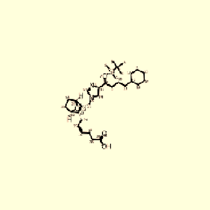 CC(C)(C)[Si](C)(C)OC(CCCC1CCCCC1)c1cn(C[C@@H]2[C@H](C/C=C\CCC(=O)O)[C@H]3CC[C@@H]2O3)cn1